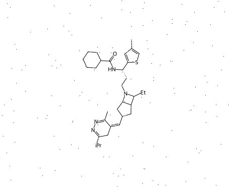 CCC1C2CC(/C=C3/CC(C(C)C)=NN=C3C)CC2N1CC[C@H](NC(=O)C1CCCCC1)c1cc(C)cs1